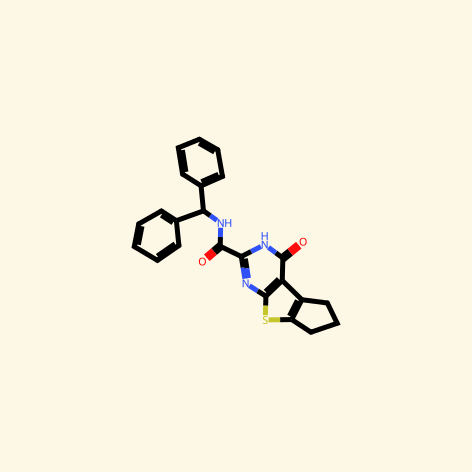 O=C(NC(c1ccccc1)c1ccccc1)c1nc2sc3c(c2c(=O)[nH]1)CCC3